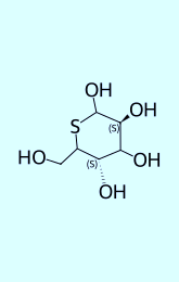 OCC1SC(O)[C@@H](O)C(O)[C@@H]1O